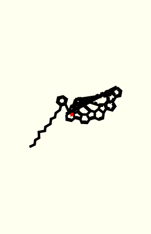 CCCCCCCCCCCCc1ccccc1C1N(C)CC23C4=C5C=CC6=C7C=CC8c9ccc%10c%11ccc%12c%13c(c%14c%15c%16c%17c(c9c%10c(c%14%17)c%13%11)C8C7C=%16C6C5=C%152)C13C=%12C=C4